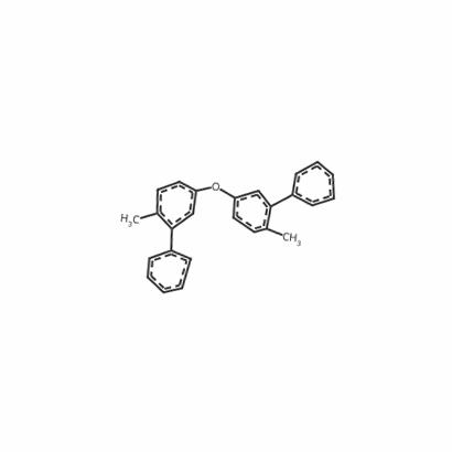 Cc1ccc(Oc2ccc(C)c(-c3ccccc3)c2)cc1-c1ccccc1